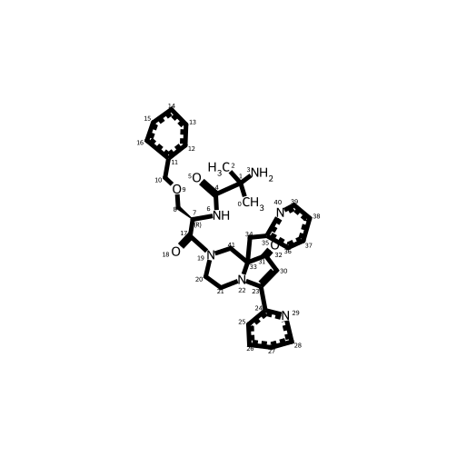 CC(C)(N)C(=O)N[C@H](COCc1ccccc1)C(=O)N1CCN2C(c3ccccn3)=CC(=O)C2(Cc2ccccn2)C1